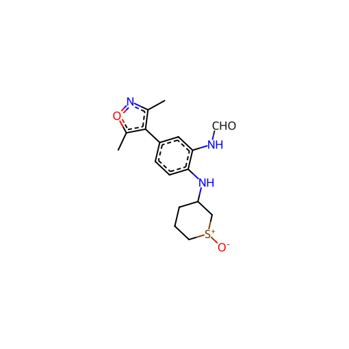 Cc1noc(C)c1-c1ccc(NC2CCC[S+]([O-])C2)c(NC=O)c1